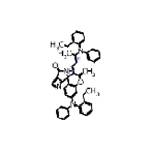 C=C1Oc2cc(N(c3ccccc3)c3ccccc3CC)ccc2C2(NC(=O)c3cccnc32)/C1=C/C=C(\C)N(c1ccccc1)c1ccccc1CC